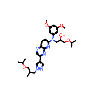 COc1cc(OC)cc(N(CC(O)COC(C)C)c2ccc3ncc(-c4cnn(CC(C)COC(C)C)c4)nc3n2)c1